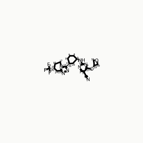 N#Cc1cnc(N[C@@H]2CCC[C@H](c3nnc4n3CC[C@@H](C(F)(F)F)C4)C2)nc1OC1COC1